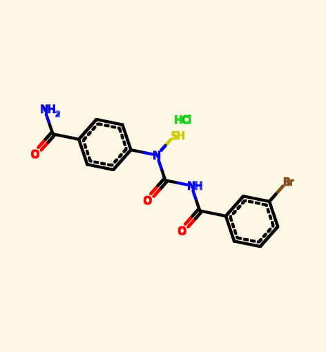 Cl.NC(=O)c1ccc(N(S)C(=O)NC(=O)c2cccc(Br)c2)cc1